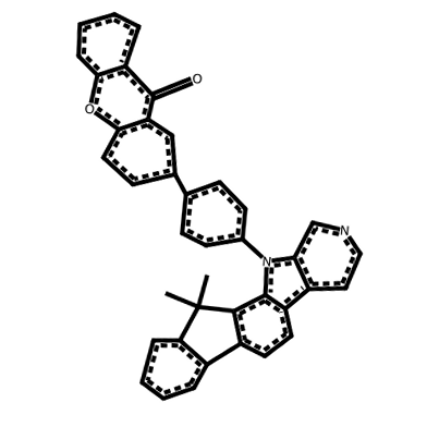 CC1(C)c2ccccc2-c2ccc3c4ccncc4n(-c4ccc(-c5ccc6oc7ccccc7c(=O)c6c5)cc4)c3c21